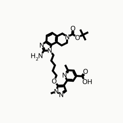 Cc1cc(C(=O)O)cc(-c2cnn(C)c2OCCCCCn2c(N)nc3ccc4c(c32)CCN(C(=O)OC(C)(C)C)C4)n1